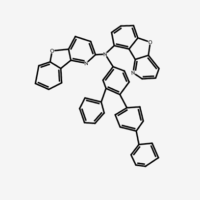 c1ccc(-c2ccc(-c3ccc(N(c4ccc5oc6ccccc6c5n4)c4cccc5oc6cccnc6c45)cc3-c3ccccc3)cc2)cc1